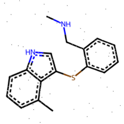 CNCc1ccccc1Sc1c[nH]c2cccc(C)c12